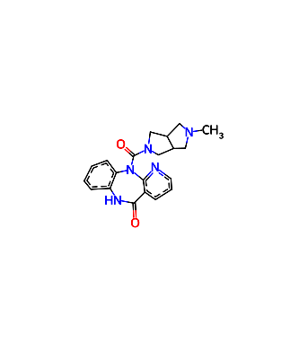 CN1CC2CN(C(=O)N3c4ccccc4NC(=O)c4cccnc43)CC2C1